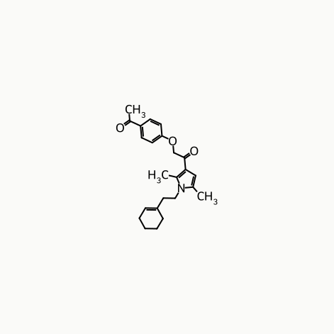 CC(=O)c1ccc(OCC(=O)c2cc(C)n(CCC3=CCCCC3)c2C)cc1